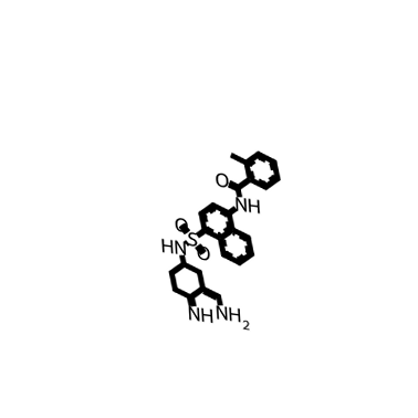 Cc1ccccc1C(=O)Nc1ccc(S(=O)(=O)NC2CCC(=N)/C(=C\N)C2)c2ccccc12